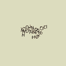 Cc1cc(Oc2ccc(C(=O)N[C@H](C)C(=O)N3C(C(C)(C)O)CC[C@H]3c3cccc(Cl)c3)nc2C)c(=O)[nH]n1